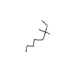 [CH2]CCCCC(C)(C)SC